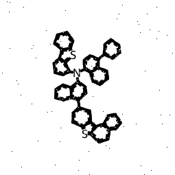 c1ccc(-c2ccc(N(c3ccc(-c4ccc5sc6ccc7ccccc7c6c5c4)c4ccccc34)c3cccc4c3sc3ccccc34)c3ccccc23)cc1